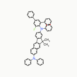 CC1(C)c2cc(N(c3ccccc3)c3c(F)cc(-c4ccccc4)cc3-c3ccccc3)ccc2-c2cc3ccc(N(c4ccccc4)c4ccccc4)cc3cc21